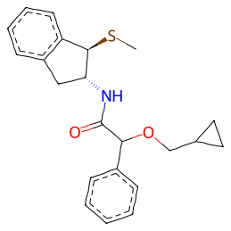 CS[C@@H]1c2ccccc2C[C@H]1NC(=O)C(OCC1CC1)c1ccccc1